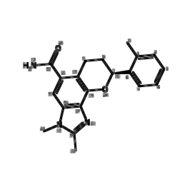 Cc1ccccc1[C@@H]1CCc2c(C(N)=O)cc3c(nc(C)n3C)c2O1